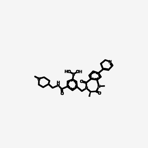 C[C@@H]1C(=O)N(C)c2cc(C3=CC=NCC3)ccc2C(=O)N1Cc1cc(B(O)O)cc(C(=O)NCC2CCN(C)CC2)c1